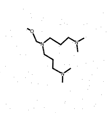 COCN(CCCN(C)C)CCCN(C)C